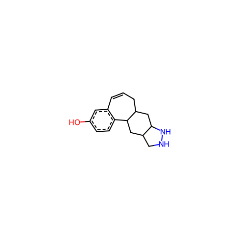 Oc1ccc2c(c1)C=CCC1CC3NNCC3CC21